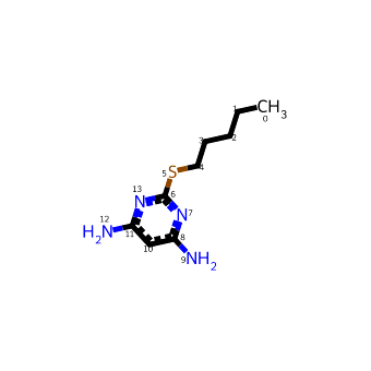 CCCCCSc1nc(N)cc(N)n1